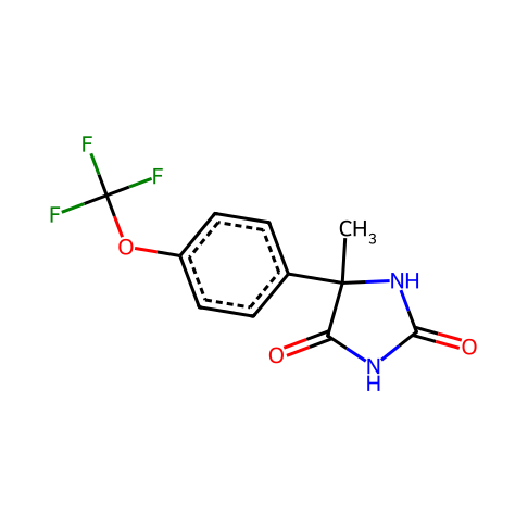 CC1(c2ccc(OC(F)(F)F)cc2)NC(=O)NC1=O